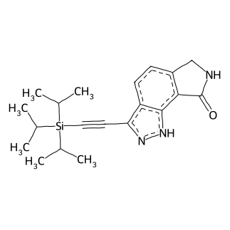 CC(C)[Si](C#Cc1n[nH]c2c3c(ccc12)CNC3=O)(C(C)C)C(C)C